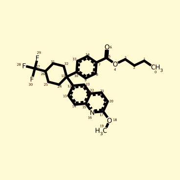 CCCCOC(=O)c1ccc(C2(c3ccc4nc(OC)ccc4c3)CCC(C(F)(F)F)CC2)cc1